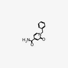 NC(=O)c1ccn(Cc2ccccc2)c(=O)c1